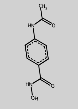 CC(=O)Nc1ccc(C(=O)NO)cc1